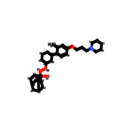 CC1C=C(OCCCN2CCCCC2)C=CC1C1CCCC(OOC2(O)C3CC4CC(C3)CC2C4)C1